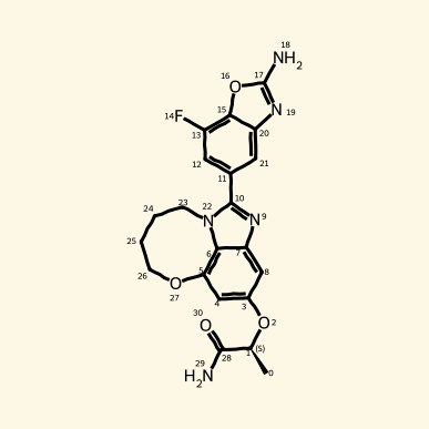 C[C@H](Oc1cc2c3c(c1)nc(-c1cc(F)c4oc(N)nc4c1)n3CCCCO2)C(N)=O